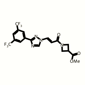 COC(=O)C1CN(C(=O)C=Cn2cnc(-c3cc(C(F)(F)F)cc(C(F)(F)F)c3)n2)C1